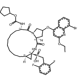 CCOc1cc(OC2C[C@H]3C(=O)N[C@]4(P(=O)(O)Cc5c(F)cccc5F)C[C@H]4CCCCCCC[C@H](NC(=O)OC4CCCC4)C(=O)N3C2)c2cccc(Br)c2n1